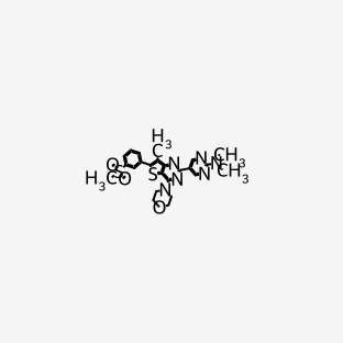 Cc1c(-c2cccc(S(C)(=O)=O)c2)sc2c(N3CCOCC3)nc(-c3cnc(N(C)C)nc3)nc12